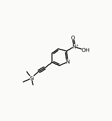 C[Si](C)(C)C#Cc1ccc([N+](=O)O)nc1